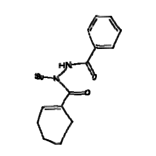 CC(C)(C)N(NC(=O)c1ccccc1)C(=O)C1=CCCCC1